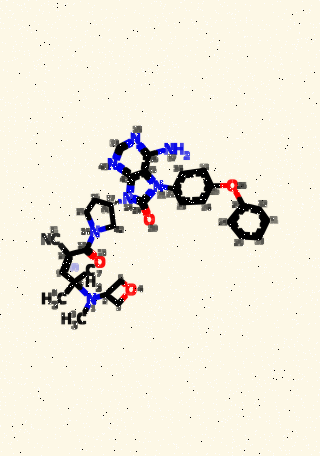 CN(C1COC1)C(C)(C)/C=C(/C#N)C(=O)N1CC[C@H](n2c(=O)n(-c3ccc(Oc4ccccc4)cc3)c3c(N)ncnc32)C1